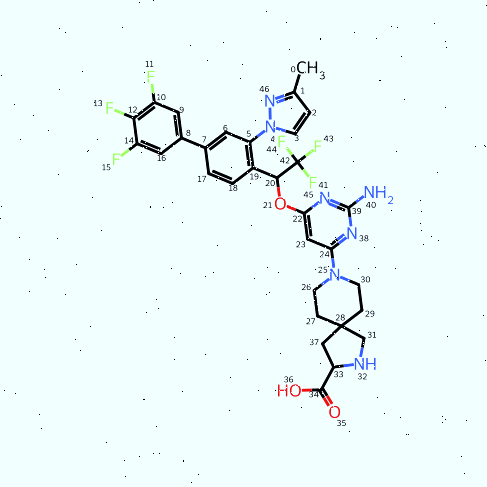 Cc1ccn(-c2cc(-c3cc(F)c(F)c(F)c3)ccc2C(Oc2cc(N3CCC4(CC3)CNC(C(=O)O)C4)nc(N)n2)C(F)(F)F)n1